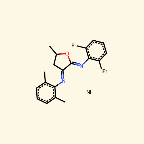 Cc1cccc(C)c1N=C1CC(C)OC1=Nc1c(C(C)C)cccc1C(C)C.[Ni]